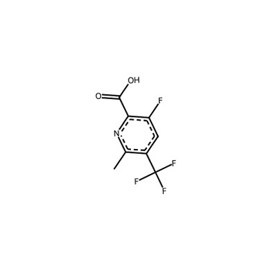 Cc1nc(C(=O)O)c(F)cc1C(F)(F)F